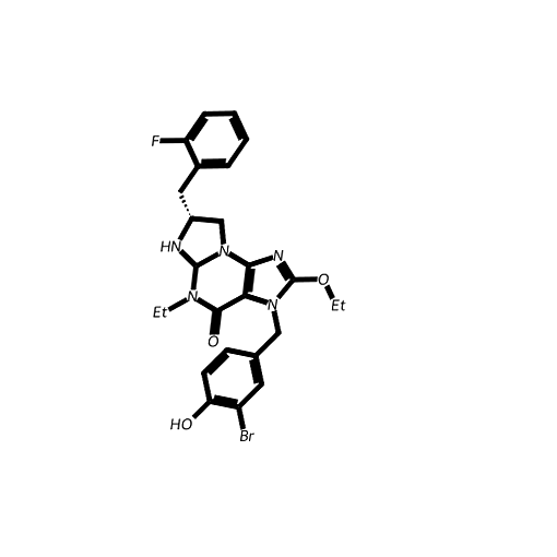 CCOc1nc2c(n1Cc1ccc(O)c(Br)c1)C(=O)N(CC)C1N[C@H](Cc3ccccc3F)CN21